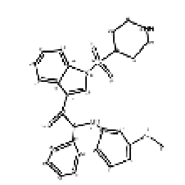 COc1cccc(NC(C(=O)c2cn(S(=O)(=O)C3CCNCC3)c3ccccc23)c2ccccc2)c1